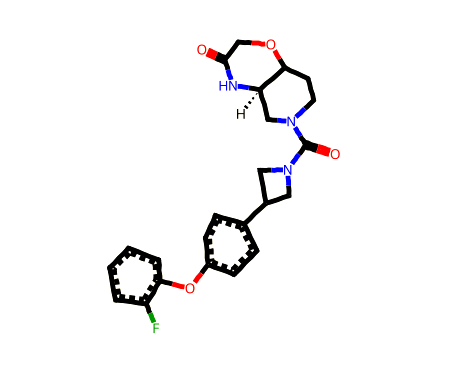 O=C1COC2CCN(C(=O)N3CC(c4ccc(Oc5ccccc5F)cc4)C3)C[C@H]2N1